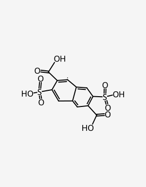 O=C(O)c1[c]c2cc(S(=O)(=O)O)c(C(=O)O)cc2cc1S(=O)(=O)O